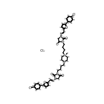 C[N+]1(CCCCN2C(=O)CN(N=Cc3ccc(-c4ccc(Cl)cc4)o3)C2=O)CCN(CCCCN2C(=O)CN(N=Cc3ccc(-c4ccc(Cl)cc4)o3)C2=O)CC1.[Cl-]